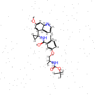 COc1cc(C2(NC(=O)c3cc(OCC(C)NC(=O)OC(C)(C)C)ccc3C)CC2)c2cccnc2c1